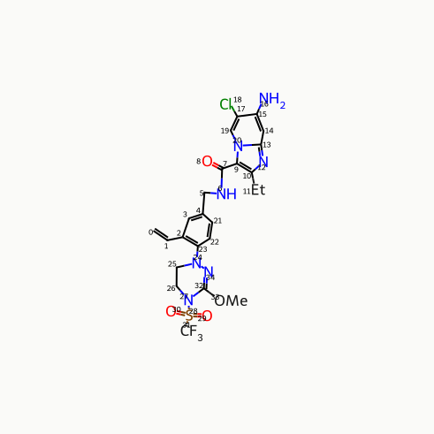 C=Cc1cc(CNC(=O)c2c(CC)nc3cc(N)c(Cl)cn23)ccc1N1CCN(S(=O)(=O)C(F)(F)F)C(OC)=N1